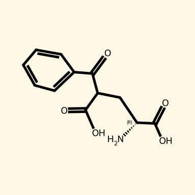 N[C@H](CC(C(=O)O)C(=O)c1ccccc1)C(=O)O